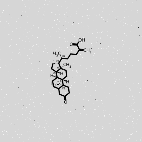 C=C(CCC[C@@H](C)[C@H]1CC[C@H]2[C@@H]3CCC4CC(=O)CC[C@]4(C)[C@H]3CC[C@]12C)C(=O)O